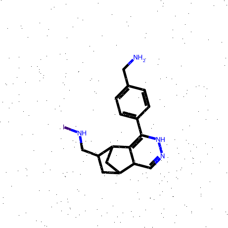 NCc1ccc(C2=C3C(C=NN2)C2CC(CNI)C3C2)cc1